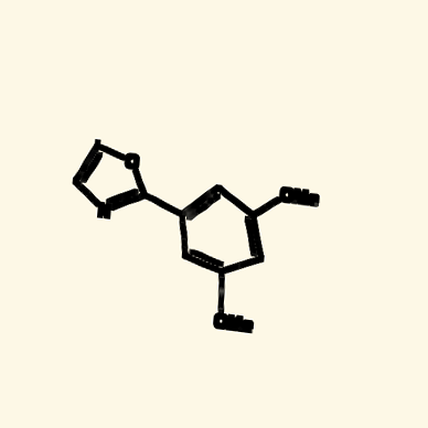 COc1cc(OC)cc(-c2nc[c]o2)c1